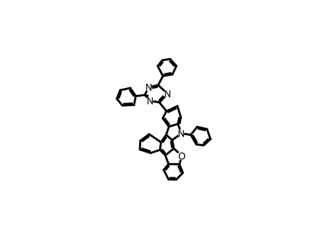 c1ccc(-c2nc(-c3ccccc3)nc(-c3ccc4c(c3)c3c5ccccc5c5c6ccccc6oc5c3n4-c3ccccc3)n2)cc1